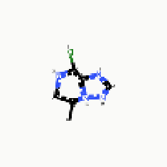 Cc1cnc(Cl)c2ncnn12